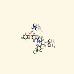 CN(C)CCOC(c1ccccc1)c1ccccc1.CN(C)CC[C@@H](c1ccc(Cl)cc1)c1ccccn1